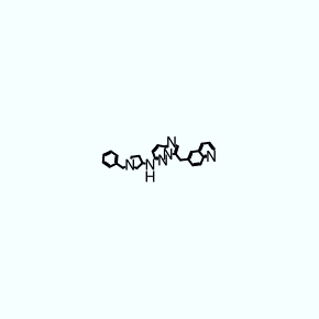 c1ccc(CN2CCC(Nc3ccc4ncc(Cc5ccc6ncccc6c5)n4n3)C2)cc1